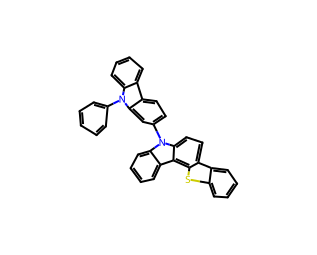 c1ccc(-n2c3ccccc3c3ccc(-n4c5ccccc5c5c6sc7ccccc7c6ccc54)cc32)cc1